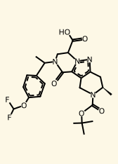 CC(c1ccc(OC(F)F)cc1)N1CC(C(=O)O)n2nc3c(c2C1=O)CN(C(=O)OC(C)(C)C)[C@H](C)C3